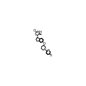 C=C1NC(=O)SC1[C@@H]1CCc2cc(O[C@H]3CCCN(c4ccc(F)cn4)C3)ccc21